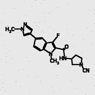 Cn1cc(-c2ccc3c(c2)c(F)c(C(=O)NC2CCN(C#N)C2)n3C)cn1